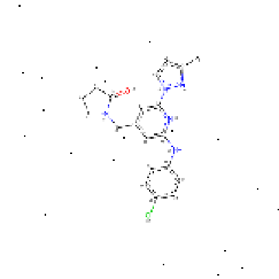 Cc1ccn(-c2cc(CN3CCCC3=O)cc(Nc3ccc(Cl)cc3)n2)n1